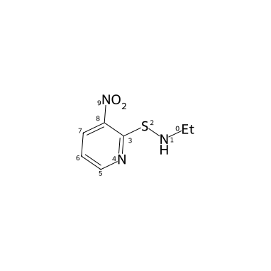 CCNSc1ncccc1[N+](=O)[O-]